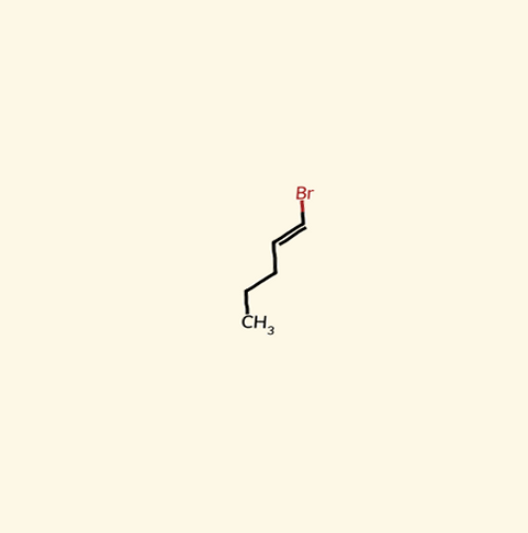 CCCC=CBr